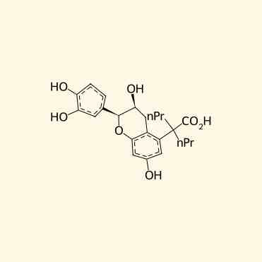 CCCC(CCC)(C(=O)O)c1cc(O)cc2c1C[C@H](O)[C@H](c1ccc(O)c(O)c1)O2